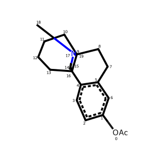 CC(=O)Oc1ccc2c(c1)CCC13CCCCC21CCN(C)C3